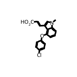 Cn1cc(C=CC(=O)O)c2c(Oc3ccc(Cl)cc3)cccc21